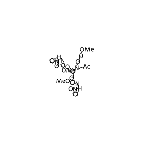 COCCOCCOCCN(CCCC(C)=O)c1cc(COc2cc3c(cc2OC)C(=O)N2c4ccccc4C[C@H]2C=N3)cc(COc2cc3c(cc2OC)C(=O)N2c4ccccc4C[C@H]2C=N3)c1